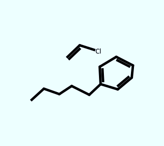 C=CCl.CCCCCc1ccccc1